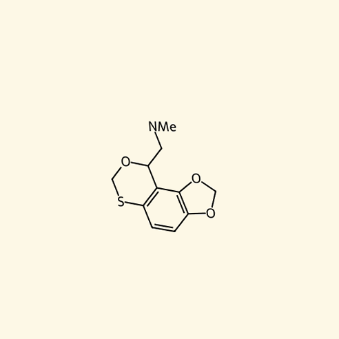 CNCC1OCSc2ccc3c(c21)OCO3